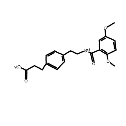 COc1ccc(OC)c(C(=O)NCCc2ccc(CCC(=O)O)cc2)c1